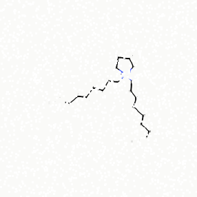 CCCCCCCCCCCCCCCCC[N+]1(CCCCCCCCCCCCCCCCC)CCCC1